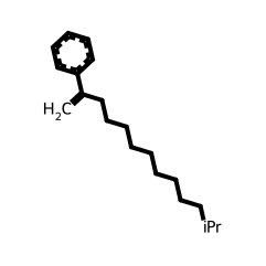 C=C(CCCCCCCCCC(C)C)c1ccccc1